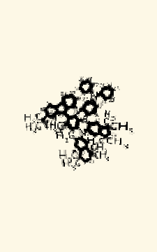 Cc1cc2c(cc1N1c3cc4c(cc3B3c5ccc(N(c6ccccc6)c6ccccc6)cc5N5c6cccc7c6C(C)(c6cc(C(C)(C)C)ccc6-7)c6c(C)cc1c3c65)C(C)(C)CC4(C)C)C(C)(C)CCC2(C)C